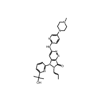 CC=Cn1c(=O)c2nnc(Nc3ccc(N4CCN(C)CC4)cn3)cc2n1-c1cccc(C(C)(C)O)n1